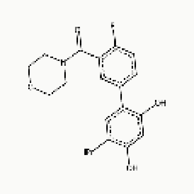 CC(C)c1cc(-c2ccc(F)c(C(=O)N3CCOCC3)c2)c(O)cc1O